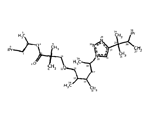 CC(C)CC(C)OC(=O)C(C)(C)COCC(C)C(C)CC(C)n1cc(C(C)(C)C(C)C(C)C)nn1